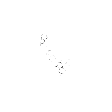 O=C(CCn1c(=O)sc2ccccc21)N[C@H]1CC[C@@H](n2c(=O)c3cc(F)cnc3n(C3CCSCC3)c2=O)CC1